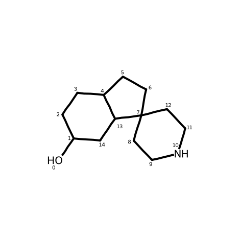 OC1CCC2CCC3(CCNCC3)C2C1